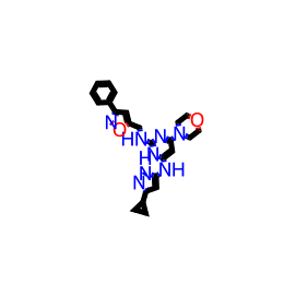 c1ccc(-c2cc(CNc3nc(Nc4cc(C5CC5)n[nH]4)cc(N4CCOCC4)n3)on2)cc1